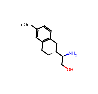 CCCCCCCCc1ccc2c(c1)CC[C@@H]([C@@H](N)CO)C2